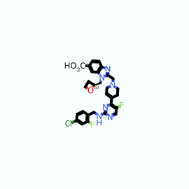 O=C(O)c1ccc2nc(CN3CC=C(c4nc(NCc5ccc(Cl)cc5F)ncc4F)CC3)n(C[C@@H]3CCO3)c2c1